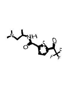 CC(CN(C)C)NC(=O)c1ccc(C(=O)C(F)(F)F)s1